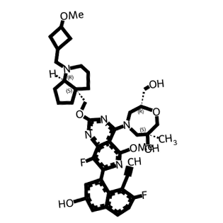 C#Cc1c(F)ccc2cc(O)cc(-c3nc(OC)c4c(N5C[C@H](CO)OC[C@@](C)(O)C5)nc(OC[C@]56CCC[C@H]5N(CC5CC(OC)C5)CCC6)nc4c3F)c12